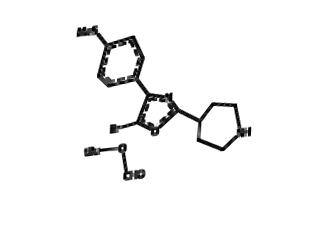 CC(C)(C)OC=O.CSc1ccc(-c2nc(C3CCNCC3)oc2Br)cc1